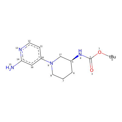 CC(C)(C)OC(=O)N[C@H]1CCCN(c2ccnc(N)c2)C1